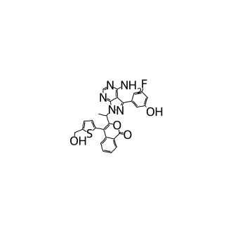 CC(c1oc(=O)c2ccccc2c1-c1ccc(CO)s1)n1nc(-c2cc(O)cc(F)c2)c2c(N)ncnc21